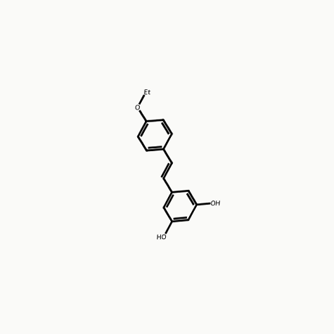 CCOc1ccc(C=Cc2cc(O)cc(O)c2)cc1